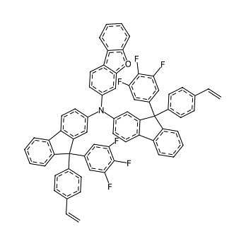 C=Cc1ccc(C2(c3cc(F)c(F)c(F)c3)c3ccccc3-c3ccc(N(c4ccc5c(c4)C(c4ccc(C=C)cc4)(c4cc(F)c(F)c(F)c4)c4ccccc4-5)c4ccc5c(c4)oc4ccccc45)cc32)cc1